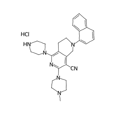 CN1CCN(c2nc(N3CCNCC3)c3c(c2C#N)CN(c2cccc4ccccc24)CC3)CC1.Cl